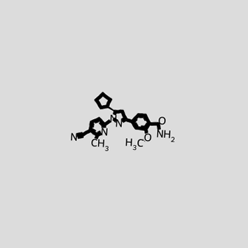 COc1cc(C2=NN(c3ccc(C#N)c(C)n3)[C@@H](C3CCCC3)C2)ccc1C(N)=O